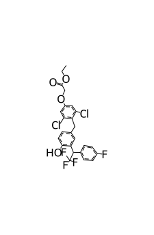 CCOC(=O)COc1cc(Cl)c(Cc2ccc(O)c(C(c3ccc(F)cc3)C(F)(F)F)c2)c(Cl)c1